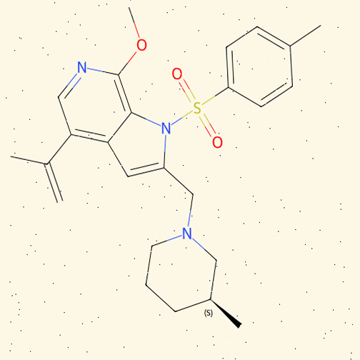 C=C(C)c1cnc(OC)c2c1cc(CN1CCC[C@H](C)C1)n2S(=O)(=O)c1ccc(C)cc1